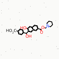 O=C(O)c1ccc(C(O)c2cc3cc(C(=O)OCN4CCCCC4)ccc3cc2O)cc1